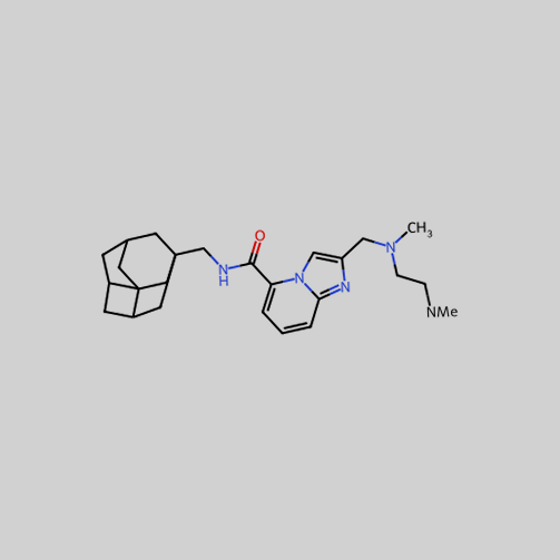 CNCCN(C)Cc1cn2c(C(=O)NCC34CC5CC6CC(C3)C6(C5)C4)cccc2n1